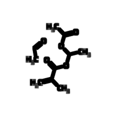 C=C(C)C(=O)OC(C)OC(C)=O.CC=O